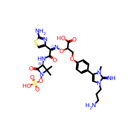 Cn1c(-c2ccc(OCC(O/N=C(\C(=O)N[C@@H]3C(=O)N(OS(=O)(=O)O)C3(C)C)c3csc(N)n3)C(=O)O)cc2)cn(CCCN)c1=N